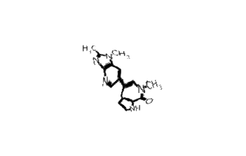 Cc1nc2ncc(-c3cn(C)c(=O)c4[nH]ccc34)cc2n1C